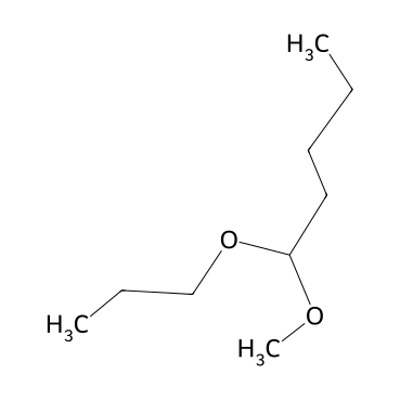 CCCCC(OC)OCCC